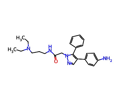 CCN(CC)CCCNC(=O)Cn1ncc(-c2ccc(N)cc2)c1-c1ccccc1